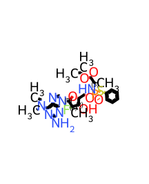 CCN(C)c1nc(N)nc2c1ncn2[C@@H]1OC(COP(=O)(N[C@@H](C)C(=O)OC(C)C)Sc2ccccc2)[C@@H](O)[C@@]1(C)F